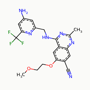 COCCOc1cc2c(NCc3cc(N)cc(C(F)(F)F)n3)nc(C)nc2cc1C#N